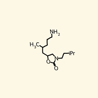 CC(C)CCN1CC(CC(C)CCCN)OC1=O